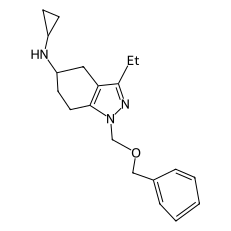 CCc1nn(COCc2ccccc2)c2c1CC(NC1CC1)CC2